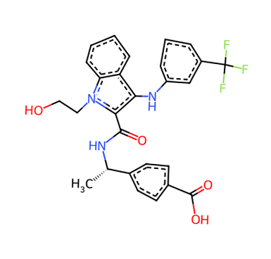 C[C@H](NC(=O)c1c(Nc2cccc(C(F)(F)F)c2)c2ccccc2n1CCO)c1ccc(C(=O)O)cc1